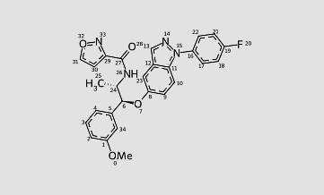 COc1cccc([C@H](Oc2ccc3c(cnn3-c3ccc(F)cc3)c2)[C@H](C)NC(=O)c2ccon2)c1